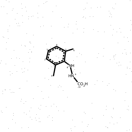 Cc1cccc(C)c1NNC(=O)O